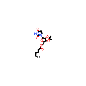 CC/C=C\CCC(=O)OC[C@H]1O[C@@H](n2ccc(=O)[nH]c2=O)C2OC(C)(C)OC21